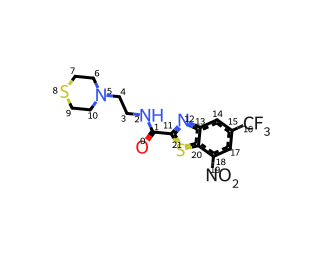 O=C(NCCN1CCSCC1)c1nc2cc(C(F)(F)F)cc([N+](=O)[O-])c2s1